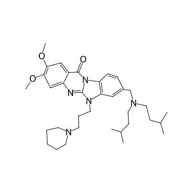 COc1cc2nc3n(CCCN4CCCCC4)c4cc(CN(CCC(C)C)CCC(C)C)ccc4n3c(=O)c2cc1OC